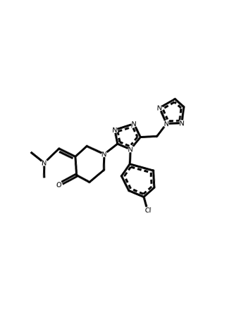 CN(C)/C=C1/CN(c2nnc(Cn3nccn3)n2-c2ccc(Cl)cc2)CCC1=O